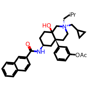 CC(=O)Oc1cccc([C@]23CC[N@+](CC(C)C)(CC4CC4)CC2(O)CC[C@H](NC(=O)c2ccc4ccccc4c2)C3)c1